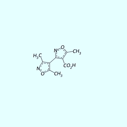 Cc1noc(C)c1-c1noc(C)c1C(=O)O